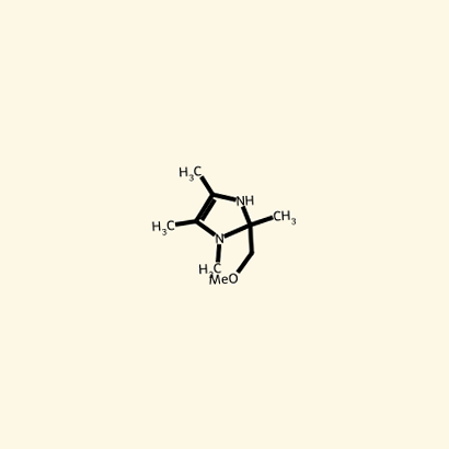 COCC1(C)NC(C)=C(C)N1C